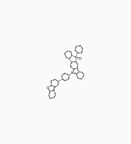 O=P1(c2ccccc2)c2ccccc2-c2cc3c(cc21)c1ccccc1n3-c1ccc(-c2ccc3oc4ccccc4c3c2)cc1